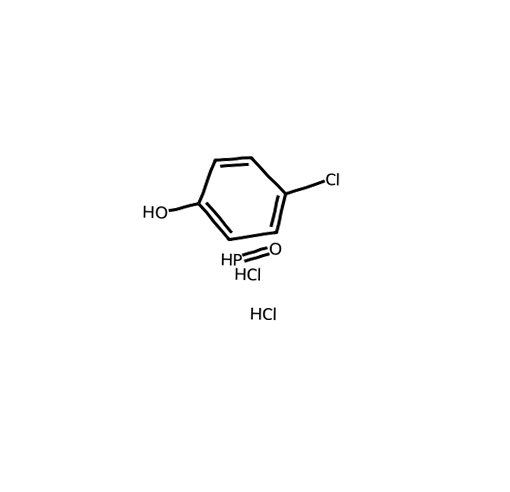 Cl.Cl.O=P.Oc1ccc(Cl)cc1